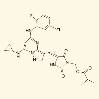 CC(C)C(=O)OCN1C(=O)N/C(=C\c2cnn3c(NC4CC4)cc(Nc4cc(Cl)ccc4F)nc23)C1=O